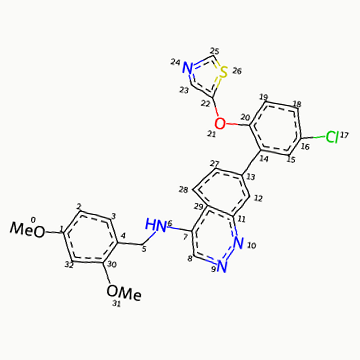 COc1ccc(CNc2cnnc3cc(-c4cc(Cl)ccc4Oc4cncs4)ccc23)c(OC)c1